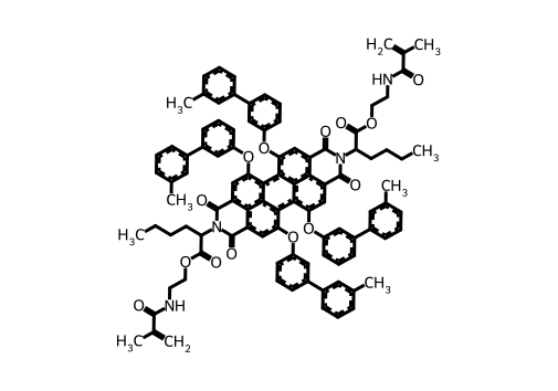 C=C(C)C(=O)NCCOC(=O)C(CCCC)N1C(=O)c2cc(Oc3cccc(-c4cccc(C)c4)c3)c3c4c(Oc5cccc(-c6cccc(C)c6)c5)cc5c6c(cc(Oc7cccc(-c8cccc(C)c8)c7)c(c7c(Oc8cccc(-c9cccc(C)c9)c8)cc(c2c37)C1=O)c64)C(=O)N(C(CCCC)C(=O)OCCNC(=O)C(=C)C)C5=O